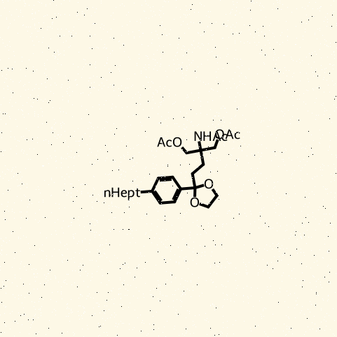 CCCCCCCc1ccc(C2(CCC(COC(C)=O)(COC(C)=O)NC(C)=O)OCCO2)cc1